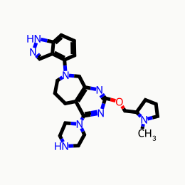 CN1CCCC1COc1nc2c(c(N3CCNCC3)n1)CCCN(c1cccc3[nH]ncc13)C2